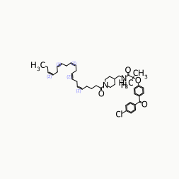 CC/C=C\C/C=C\C/C=C\C/C=C\C/C=C\CCCC(=O)N1CCC(CNC(=O)C(C)(C)Oc2ccc(C(=O)c3ccc(Cl)cc3)cc2)CC1